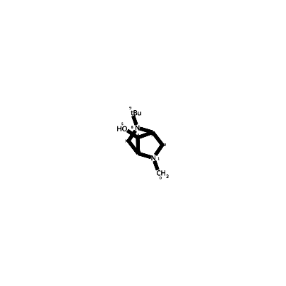 CN1CC2C(O)C1CN2C(C)(C)C